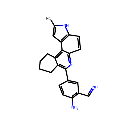 N#Cc1cc2c(ccc3nc(-c4ccc(N)c(C=N)c4)c4c(c32)CCCC4)[nH]1